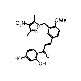 COc1ccc(/C=C/C(=O)c2ccc(O)cc2O)cc1Cn1nc(C)c([N+](=O)[O-])c1C